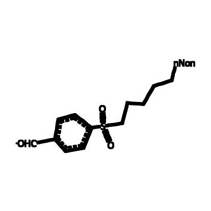 CCCCCCCCCCCCCCS(=O)(=O)c1ccc([C]=O)cc1